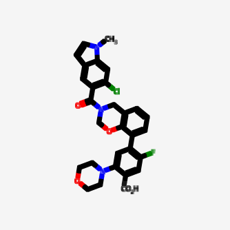 Cn1ccc2cc(C(=O)N3COc4c(cccc4-c4cc(N5CCOCC5)c(C(=O)O)cc4F)C3)c(Cl)cc21